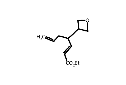 C=CCC(C=CC(=O)OCC)C1COC1